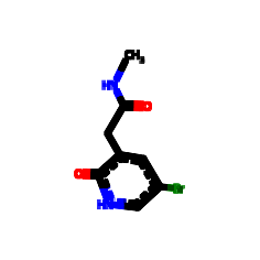 CNC(=O)Cc1cc(Br)c[nH]c1=O